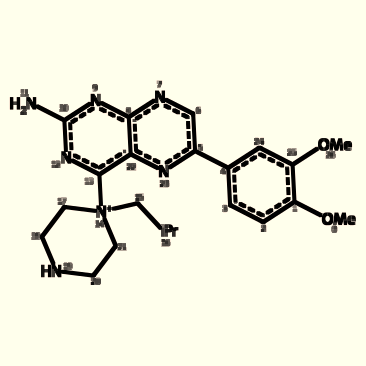 COc1ccc(-c2cnc3nc(N)nc([N+]4(CC(C)C)CCNCC4)c3n2)cc1OC